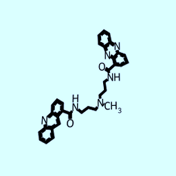 CN(CCCNC(=O)c1cccc2nc3ccccc3cc12)CCCNC(=O)c1cccc2nc3ccccc3nc12